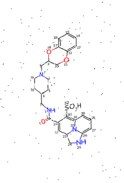 O=C(NCC1CCN(CC2COc3ccccc3O2)CC1)C1=CC2CNC3=CC=CC(=C1S(=O)(=O)O)N32